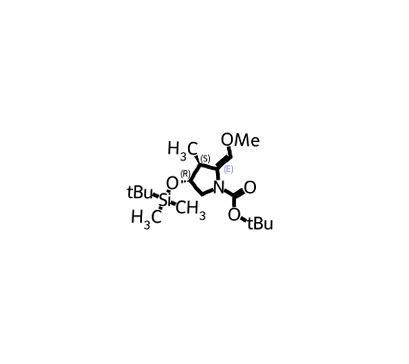 CO/C=C1\[C@H](C)[C@@H](O[Si](C)(C)C(C)(C)C)CN1C(=O)OC(C)(C)C